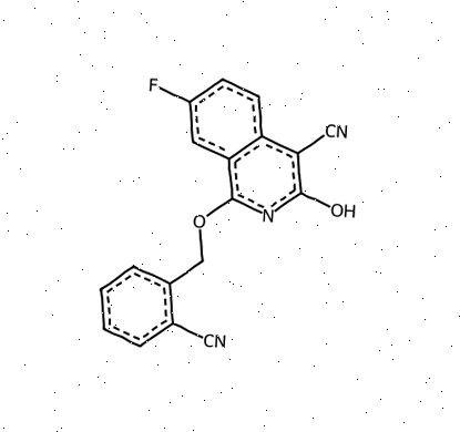 N#Cc1ccccc1COc1nc(O)c(C#N)c2ccc(F)cc12